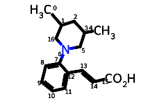 CC1CC(C)CN(c2ccccc2C=CC(=O)O)C1